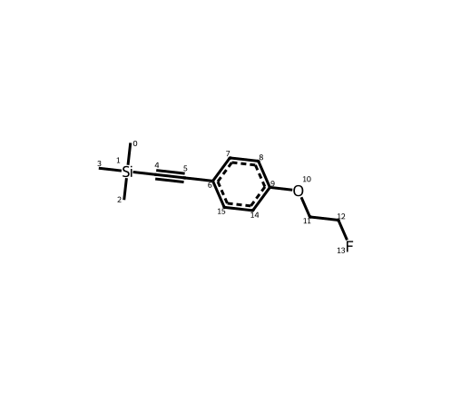 C[Si](C)(C)C#Cc1ccc(OCCF)cc1